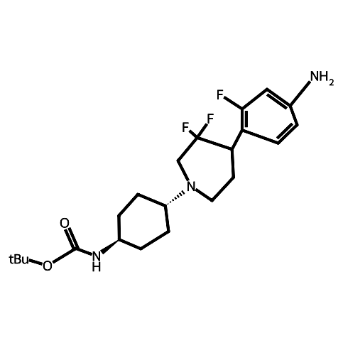 CC(C)(C)OC(=O)N[C@H]1CC[C@H](N2CCC(c3ccc(N)cc3F)C(F)(F)C2)CC1